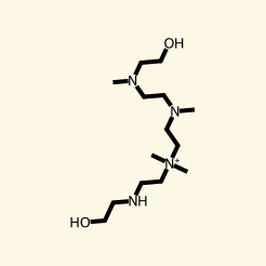 CN(CCO)CCN(C)CC[N+](C)(C)CCNCCO